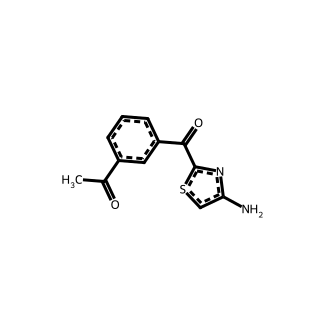 CC(=O)c1cccc(C(=O)c2nc(N)cs2)c1